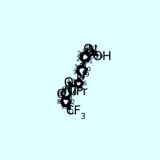 CC(C)[C@]1(C(=O)N2COc3ccc(C(F)(F)F)cc3C2)CC[C@@H](N2CCC(c3ccc4onc(O)c4c3)CC2)C1